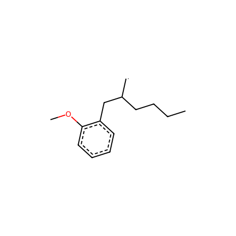 [CH2]C(CCCC)Cc1ccccc1OC